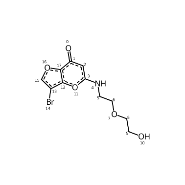 O=c1cc(NCCOCCO)oc2c(Br)coc12